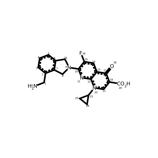 NCc1cccc2c1CN(c1nc3c(cc1F)c(=O)c(C(=O)O)cn3C1CC1)C2